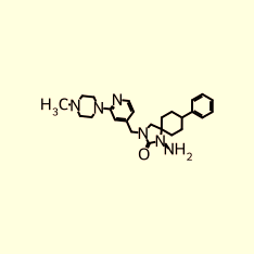 CN1CCN(c2cc(CN3CC4(CCC(c5ccccc5)CC4)N(N)C3=O)ccn2)CC1